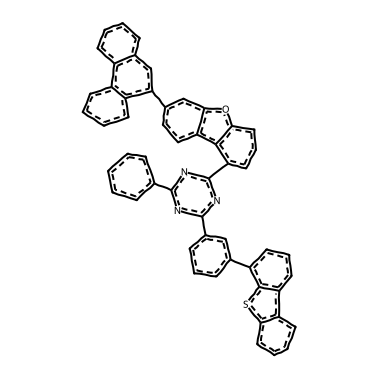 c1ccc(-c2nc(-c3cccc(-c4cccc5c4sc4ccccc45)c3)nc(-c3cccc4oc5cc(-c6cc7ccccc7c7ccccc67)ccc5c34)n2)cc1